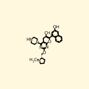 CC1=C(c2cc(O)cc3ccccc23)Oc2nc(OC[C@@H]3CCCN3C)nc(N3CCNCC3)c2C1